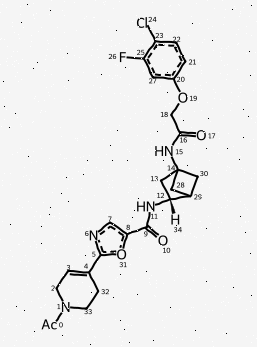 CC(=O)N1CC=C(c2ncc(C(=O)N[C@@H]3CC4(NC(=O)COc5ccc(Cl)c(F)c5)CC3C4)o2)CC1